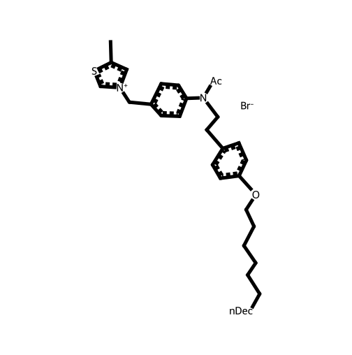 CCCCCCCCCCCCCCCCOc1ccc(CCN(C(C)=O)c2ccc(C[n+]3csc(C)c3)cc2)cc1.[Br-]